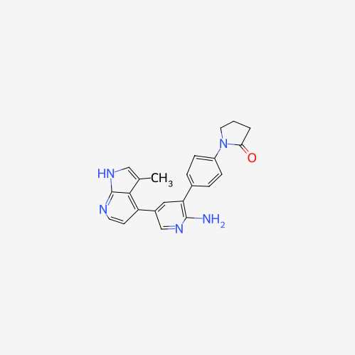 Cc1c[nH]c2nccc(-c3cnc(N)c(-c4ccc(N5CCCC5=O)cc4)c3)c12